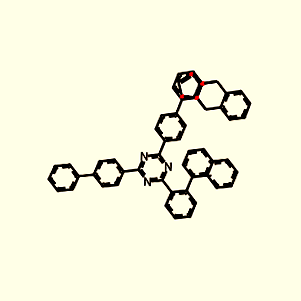 C1=CC2=C(C1)C1c3ccccc3C2c2cccc(-c3ccc(-c4nc(-c5ccc(-c6ccccc6)cc5)nc(-c5ccccc5-c5cccc6ccccc56)n4)cc3)c21